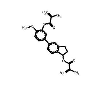 C=C(C)C(=O)Oc1cc(-c2ccc3c(c2)CCC3OC(=O)C(=C)C)ccc1OC